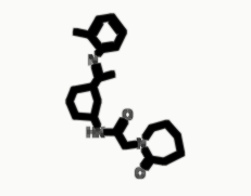 CC(=Nc1ccccc1C)C1CCCC(NC(=O)CN2CCCCCC2=O)C1